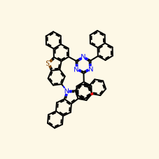 c1ccc(-c2nc(-c3cccc4ccccc34)nc(-c3cc4ccccc4c4sc5ccc(-n6c7cc8ccccc8cc7c7cc8ccccc8cc76)cc5c34)n2)cc1